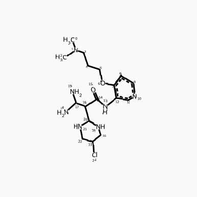 CN(C)CCCOc1ccncc1NC(=O)C(C(N)N)C1NCC(Cl)CN1